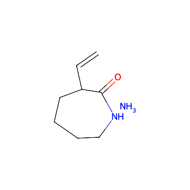 C=CC1CCCCNC1=O.N